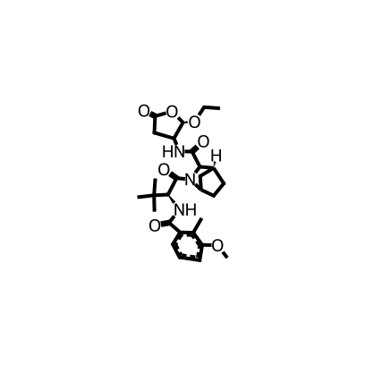 CCO[C@H]1OC(=O)CC1NC(=O)C1[C@H]2CCC(C2)N1C(=O)[C@@H](NC(=O)c1cccc(OC)c1C)C(C)(C)C